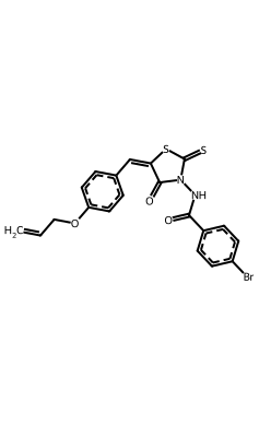 C=CCOc1ccc(C=C2SC(=S)N(NC(=O)c3ccc(Br)cc3)C2=O)cc1